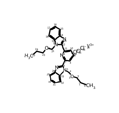 CCCOCn1c(-c2cccc(-c3nc4ccccc4n3COCCC)n2)nc2ccccc21.[Cl-].[Cl-].[Cl-].[V+3]